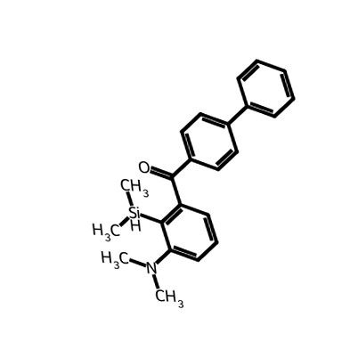 CN(C)c1cccc(C(=O)c2ccc(-c3ccccc3)cc2)c1[SiH](C)C